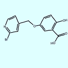 O=C(O)c1cc(OCc2ccnc(Br)c2)ccc1O